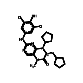 CN1C(=O)[C@@H](CC2CCCC2)N(C2CCCC2)c2nc(Nc3cc(Cl)c(O)c(Cl)c3)ncc21